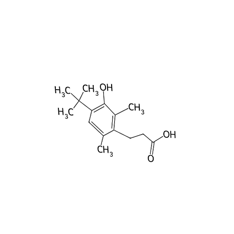 Cc1cc(C(C)(C)C)c(O)c(C)c1CCC(=O)O